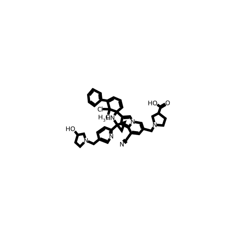 CC1(Cl)C(c2ccccc2)=CC=CC1(NC1(c2ccc(CN3CCC(O)C3)cn2)CC1)c1cc2c(C#N)cc(CN3CCC(C(=O)O)C3)cn2c1